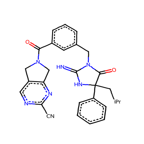 CC(C)CC1(c2ccccc2)NC(=N)N(Cc2cccc(C(=O)N3Cc4cnc(C#N)nc4C3)c2)C1=O